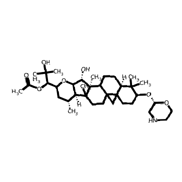 CC(=O)OC(C1C[C@@H](C)[C@H]2C(O1)[C@H](O)[C@@]1(C)C3CC[C@H]4C(C)(C)C(O[C@H]5CNCCO5)CCC45CC35CCC21C)C(C)(C)O